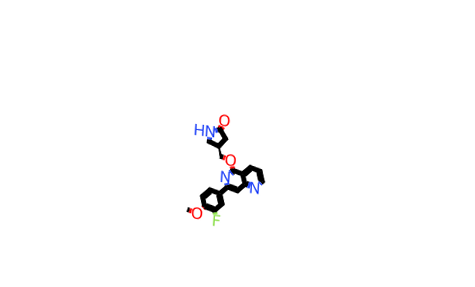 COc1ccc(-c2cc3ncccc3c(OC[C@H]3CNC(=O)C3)n2)cc1F